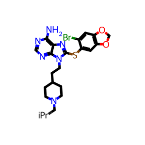 CC(C)CN1CCC(CCn2c(Sc3cc4c(cc3Br)OCO4)nc3c(N)ncnc32)CC1